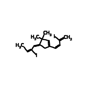 C=C(I)/C=C\C1=CC(C)(C)/C(=C/C(I)=C\C)C1